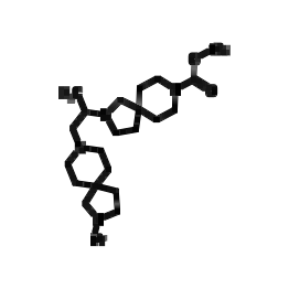 CC(C)N1CCC2(CCN(CC(C)N3CCC4(CCN(C(=O)OC(C)(C)C)CC4)C3)CC2)C1